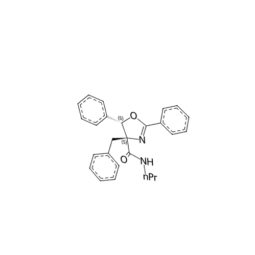 CCCNC(=O)[C@@]1(Cc2ccccc2)N=C(c2ccccc2)O[C@H]1c1ccccc1